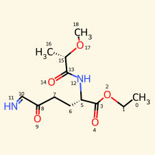 CCOC(=O)[C@H](CCC(=O)C=N)NC(=O)[C@H](C)OC